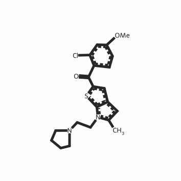 COc1ccc(C(=O)c2cc3cc(C)n(CCN4CCCC4)c3s2)c(Cl)c1